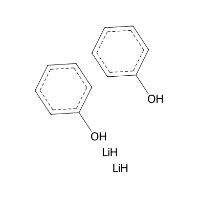 Oc1ccccc1.Oc1ccccc1.[LiH].[LiH]